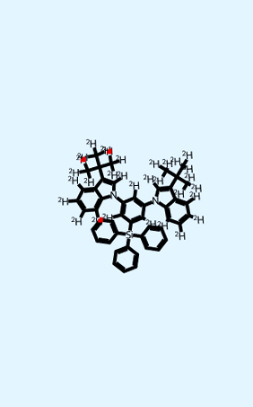 [2H]c1c(-n2c([2H])c(C(C([2H])([2H])[2H])(C([2H])([2H])[2H])C([2H])([2H])[2H])c3c([2H])c([2H])c([2H])c([2H])c32)c([2H])c([Si](c2ccccc2)(c2ccccc2)c2ccccc2)c([2H])c1-n1c([2H])c(C(C([2H])([2H])[2H])(C([2H])([2H])[2H])C([2H])([2H])[2H])c2c([2H])c([2H])c([2H])c([2H])c21